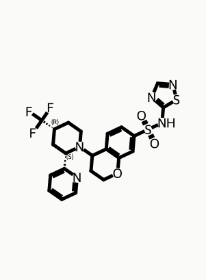 O=S(=O)(Nc1ncns1)c1ccc2c(c1)OCCC2N1CC[C@@H](C(F)(F)F)C[C@H]1c1ccccn1